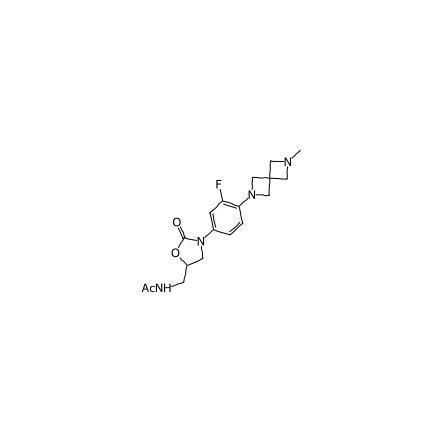 CC(=O)NCC1CN(c2ccc(N3CC4(CN(C)C4)C3)c(F)c2)C(=O)O1